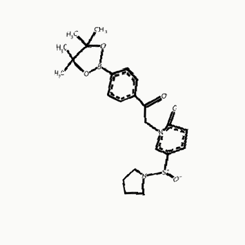 CC1(C)OB(c2ccc(C(=O)Cn3cc([S+]([O-])N4CCCC4)ccc3=O)cc2)OC1(C)C